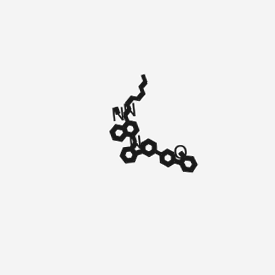 C=N\C(=N/C=C\C=C/C=C/C)c1ccc(-n2c3ccccc3c3cc(-c4ccc5c(c4)oc4ccccc45)ccc32)c2ccccc12